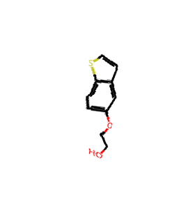 OCCOc1ccc2sccc2c1